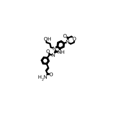 NC(=O)C=Cc1cccc(C(=O)N=c2[nH]c3cc(N4CCOCC4=O)ccc3n2CCCO)c1